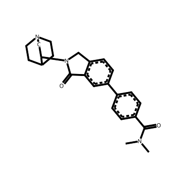 CN(C)C(=O)c1ccc(-c2ccc3c(c2)C(=O)N(C2CN4CCC2CC4)C3)cc1